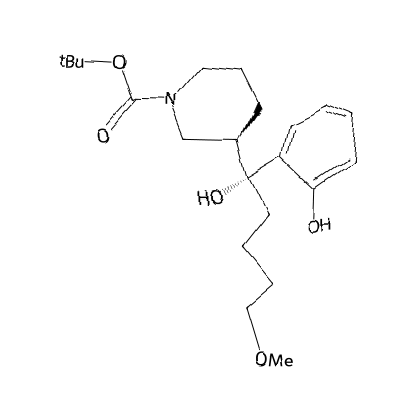 COCCCC[C@](O)(c1ccccc1O)[C@@H]1CCCN(C(=O)OC(C)(C)C)C1